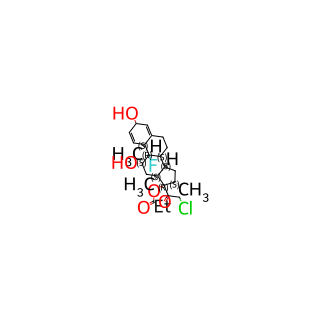 CCC(=O)O[C@]1(C(=O)CCl)[C@@H](C)C[C@H]2[C@@H]3CCC4=CC(O)C=C[C@]4(C)[C@@]3(F)[C@@H](O)C[C@@]21C